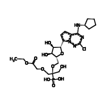 CCOC(=O)COCC(CO)(OC[C@H]1O[C@@H](c2ccc3c(NC4CCCC4)nc(Cl)nn23)[C@H](O)[C@@H]1O)P(=O)(O)O